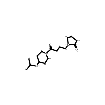 CC(C)NC1CCN(C(=O)CCCN2CCCC2=O)CC1